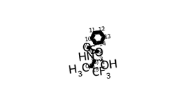 C[C@@H]([C@@H](CO)NS(=O)(=O)c1ccccc1)C(F)(F)F